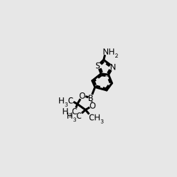 CC1(C)OB(c2ccc3nc(N)sc3c2)OC1(C)C